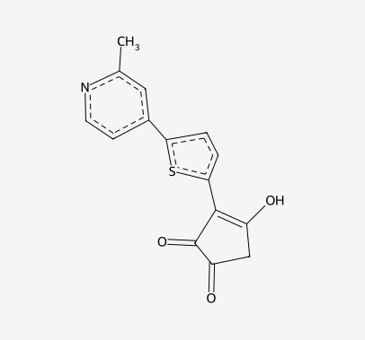 Cc1cc(-c2ccc(C3=C(O)CC(=O)C3=O)s2)ccn1